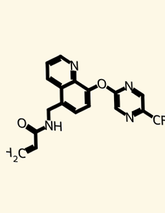 C=CC(=O)NCc1ccc(Oc2cnc(C(F)(F)F)cn2)c2ncccc12